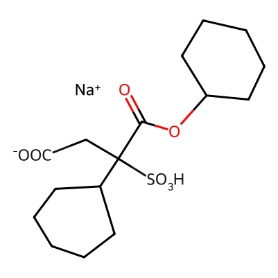 O=C([O-])CC(C(=O)OC1CCCCC1)(C1CCCCC1)S(=O)(=O)O.[Na+]